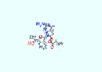 CC[C@H](O)[C@@H]1C[C@@H]([C@@H](C)OC(=O)CC(C)C)[C@H](n2c(=O)sc3cnc(N)nc32)O1